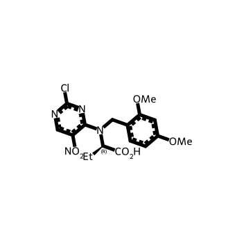 CC[C@H](C(=O)O)N(Cc1ccc(OC)cc1OC)c1nc(Cl)ncc1[N+](=O)[O-]